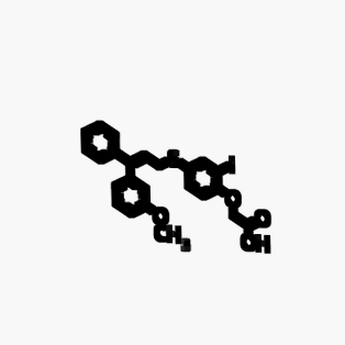 COc1cccc(/C(=C\CSc2ccc(OCC(=O)O)c(I)c2)c2ccccc2)c1